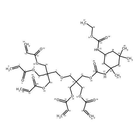 C=CC(=O)OCC(COCC(COC(=O)C=C)(COC(=O)C=C)COC(=O)NC1(C)CC(NC(=O)OCC)CC(C)(C)C1)(COC(=O)C=C)COC(=O)C=C